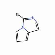 CCc1nccc2cccn12